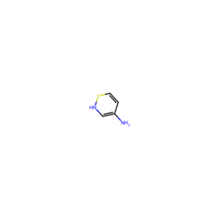 NC1=CNSC=C1